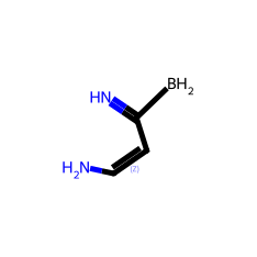 BC(=N)/C=C\N